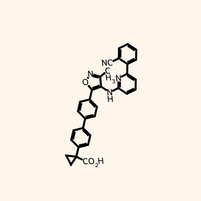 Cc1noc(-c2ccc(-c3ccc(C4(C(=O)O)CC4)cc3)cc2)c1Nc1cccc(-c2ccccc2C#N)n1